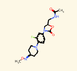 CON=C1CCN(c2ccc(N3CC(CNC(C)=O)OC3=O)cc2F)CC1